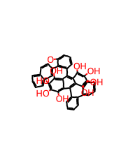 Oc1c(O)c(O)c2c(-c3cccc4oc5cc6ccccc6cc5c34)c3c(O)c(O)c(O)c(O)c3c(-c3ccccc3-c3ccccc3)c2c1O